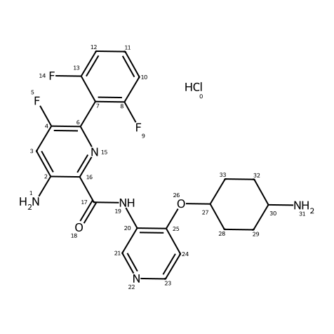 Cl.Nc1cc(F)c(-c2c(F)cccc2F)nc1C(=O)Nc1cnccc1OC1CCC(N)CC1